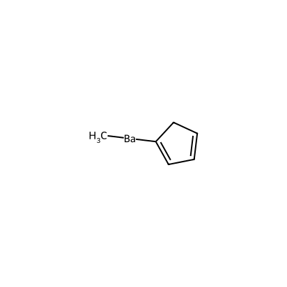 [CH3][Ba][C]1=CC=CC1